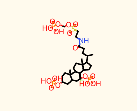 CC(CCC(=O)NCCS(=O)(=O)OCOP(=O)(O)O)C1CCC2C3C(CCC12C)C1(C)CCC(OP(=O)(O)O)CC1CC3(F)OP(=O)(O)O